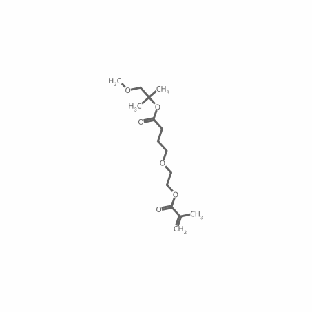 C=C(C)C(=O)OCCOCCCC(=O)OC(C)(C)COC